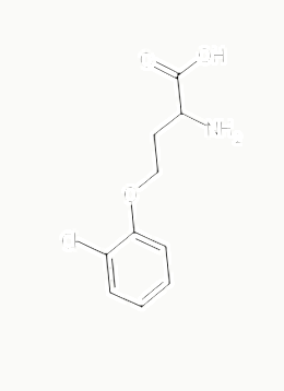 NC(CCOc1ccccc1Cl)C(=O)O